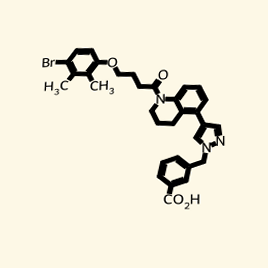 Cc1c(Br)ccc(OCCCC(=O)N2CCCc3c(-c4cnn(Cc5cccc(C(=O)O)c5)c4)cccc32)c1C